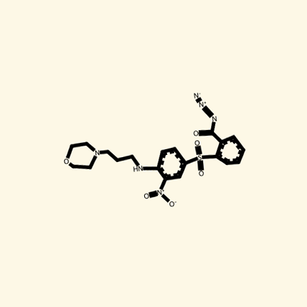 [N-]=[N+]=NC(=O)c1ccccc1S(=O)(=O)c1ccc(NCCCN2CCOCC2)c([N+](=O)[O-])c1